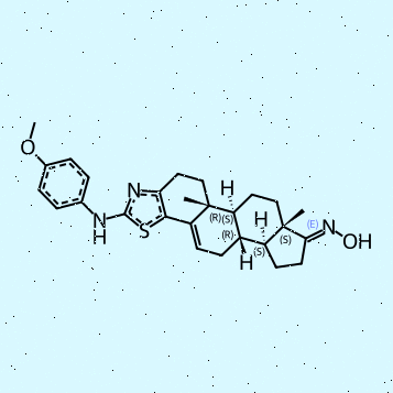 COc1ccc(Nc2nc3c(s2)C2=CC[C@@H]4[C@H](CC[C@]5(C)/C(=N/O)CC[C@@H]45)[C@@]2(C)CC3)cc1